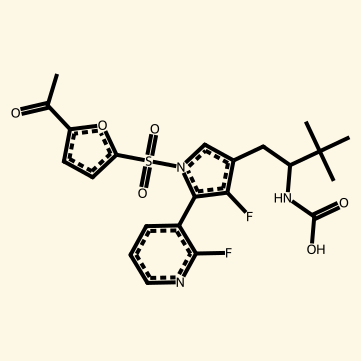 CC(=O)c1ccc(S(=O)(=O)n2cc(CC(NC(=O)O)C(C)(C)C)c(F)c2-c2cccnc2F)o1